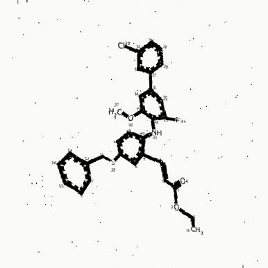 CCOC(=O)/C=C/c1cc(SCc2ccccc2)ccc1Nc1c(F)cc(-c2cccc(Cl)c2)cc1OC